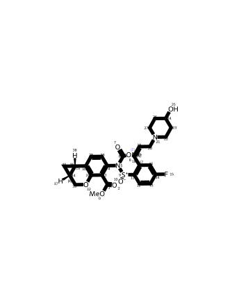 COC(=O)c1c(N(C(=O)OC)[S+]([O-])c2ccc(F)cc2/C=C\CN2CCC(O)CC2)ccc2c1OC[C@@H]1C[C@H]21